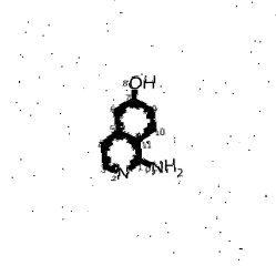 Nc1nccc2cc(O)[c]cc12